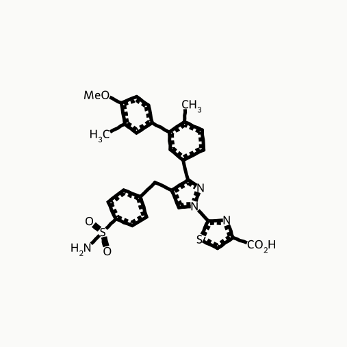 COc1ccc(-c2cc(-c3nn(-c4nc(C(=O)O)cs4)cc3Cc3ccc(S(N)(=O)=O)cc3)ccc2C)cc1C